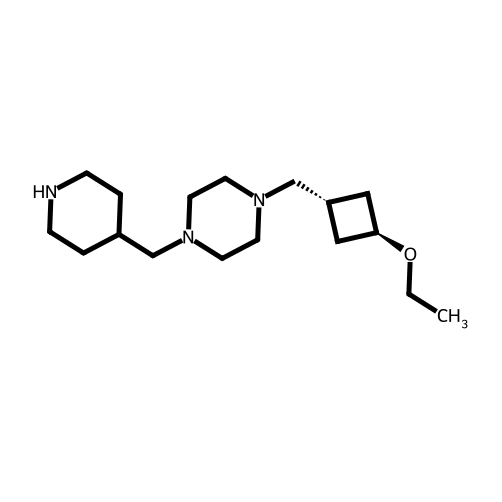 CCO[C@H]1C[C@H](CN2CCN(CC3CCNCC3)CC2)C1